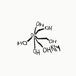 [KH].[OH][Os]([OH])([OH])([OH])([OH])[OH]